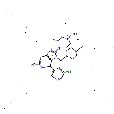 CC1CCC(Cn2c(N3CCN(C(=O)O)CC3C)nc3cc(C#N)nc(-c4cncc(Cl)c4)c32)CC1